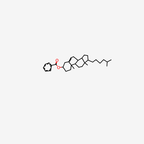 CC(C)CCCCC1CCC2C3CC=C4CC(OC(=O)c5ccccc5)CCC4(C)C3CCC12C